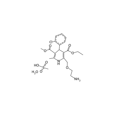 CCOC(=O)C1=C(COCCN)NC(C)=C(C(=O)OC)C1c1ccccc1Cl.CS(=O)(=O)O.O